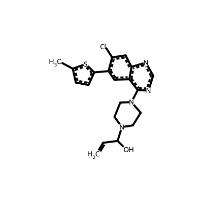 C=CC(O)N1CCN(c2ncnc3cc(Cl)c(-c4ccc(C)s4)cc23)CC1